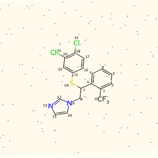 FC(F)(F)c1ccccc1C(Cn1ccnc1)Sc1ccc(Cl)c(Cl)c1